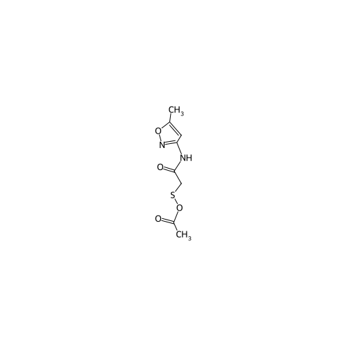 CC(=O)OSCC(=O)Nc1cc(C)on1